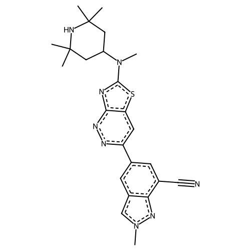 CN(c1nc2nnc(-c3cc(C#N)c4nn(C)cc4c3)cc2s1)C1CC(C)(C)NC(C)(C)C1